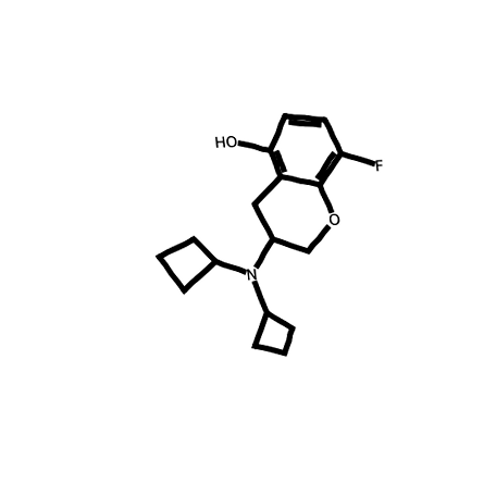 Oc1ccc(F)c2c1CC(N(C1CCC1)C1CCC1)CO2